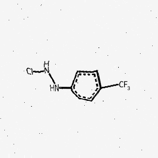 FC(F)(F)c1ccc(NNCl)cc1